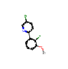 CCOc1cccc(-c2ccc(Br)cn2)c1F